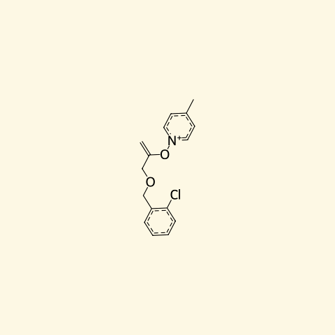 C=C(COCc1ccccc1Cl)O[n+]1ccc(C)cc1